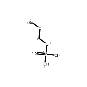 CC(C)(C)OCOP(O)(=S)Cl